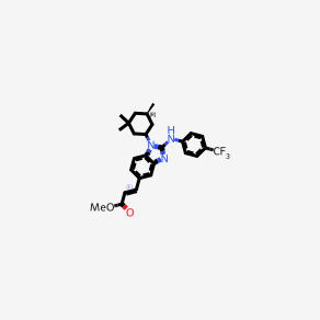 COC(=O)/C=C/c1ccc2c(c1)nc(Nc1ccc(C(F)(F)F)cc1)n2C1C[C@H](C)CC(C)(C)C1